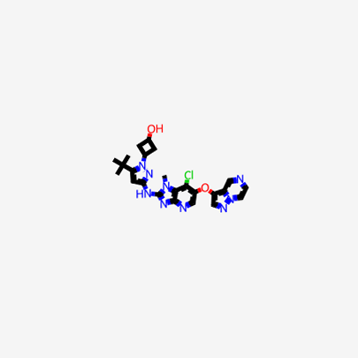 Cn1c(Nc2cc(C(C)(C)C)n(C3CC(O)C3)n2)nc2ncc(Oc3cnn4ccncc34)c(Cl)c21